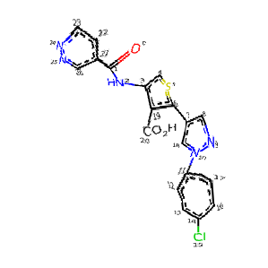 O=C(Nc1csc(-c2cnn(-c3ccc(Cl)cc3)c2)c1C(=O)O)c1ccnnc1